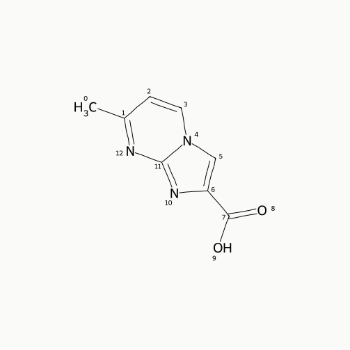 Cc1ccn2cc(C(=O)O)nc2n1